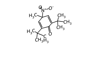 CC(C)(C)C1=CC(C)([N+](=O)[O-])C=C(C(C)(C)C)C1=O